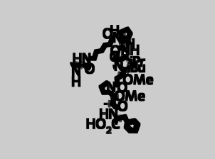 CC[C@H](C)[C@@H]([C@@H](CC(=O)N1CCCC1[C@H](OC)[C@@H](C)C(=O)N[C@@H](Cc1ccccc1)C(=O)O)OC)N(C)C(=O)[C@@H](NC(=O)[C@@H]1[C@H]2CC[C@H](C2)N1C(=O)CCCCCNC(=O)[C@@H]1CN1)C(C)C